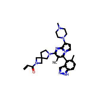 C=CC(=O)N1CC2(CCN(c3nc4c(N5CCN(C)CC5)ccn4c(-c4c(C)ccc5[nH]ncc45)c3C#N)C2)C1